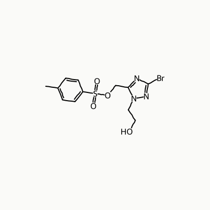 Cc1ccc(S(=O)(=O)OCc2nc(Br)nn2CCO)cc1